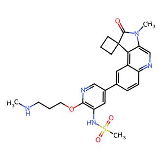 CNCCCOc1ncc(-c2ccc3ncc4c(c3c2)C2(CCC2)C(=O)N4C)cc1NS(C)(=O)=O